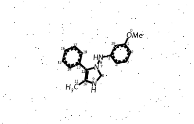 COc1cccc(NN2CNC(C)=C2c2ccccc2)c1